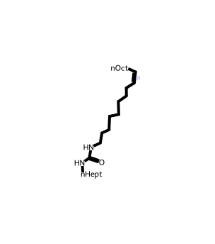 CCCCCCCC/C=C\CCCCCCCCNC(=O)NCCCCCCC